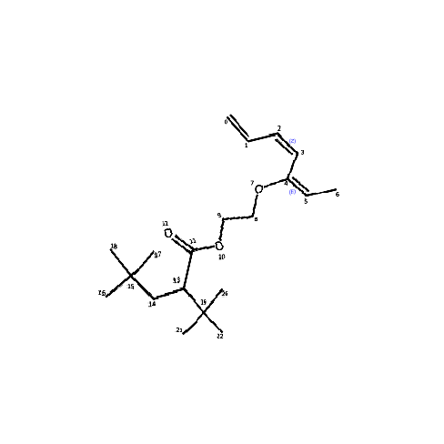 C=C/C=C\C(=C/C)OCCOC(=O)C(CC(C)(C)C)C(C)(C)C